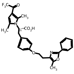 Cc1oc(-c2ccccc2)nc1CCOc1ccc(C[C@@H](C(=O)O)n2c(C)cc(C(=O)C(F)(F)F)c2C)cc1